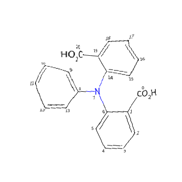 O=C(O)c1ccccc1N(c1ccccc1)c1ccccc1C(=O)O